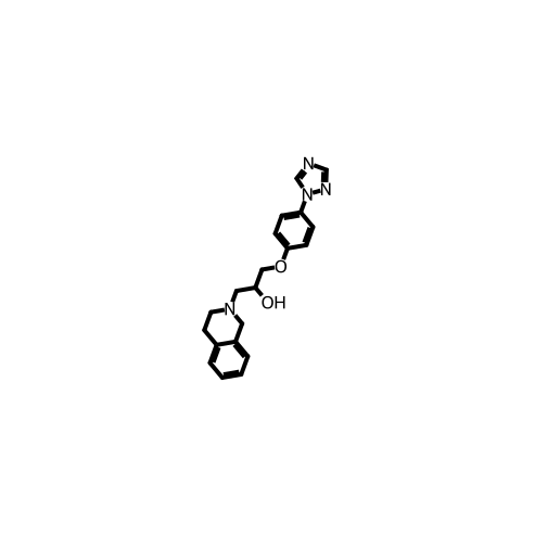 OC(COc1ccc(-n2cncn2)cc1)CN1CCc2ccccc2C1